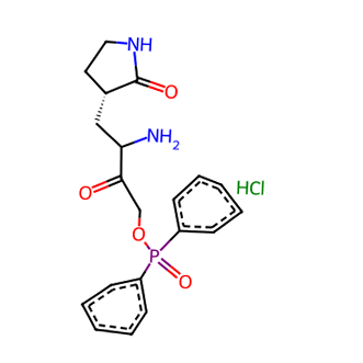 Cl.NC(C[C@@H]1CCNC1=O)C(=O)COP(=O)(c1ccccc1)c1ccccc1